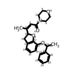 C/C(=C/C(=O)N1CCOCC1)C1Cc2cccc(OC(C)c3ccccc3)c2O1